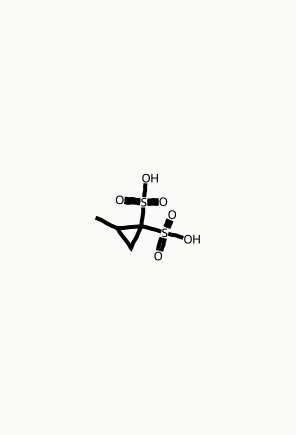 CC1CC1(S(=O)(=O)O)S(=O)(=O)O